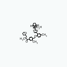 Cc1ccc(OCc2ccc(C(=O)N(C)CC3CCCO3)cc2C)c(-c2csc(N3C[C@H]4CC[C@@H](C3)[C@H]4C(=O)O)n2)c1